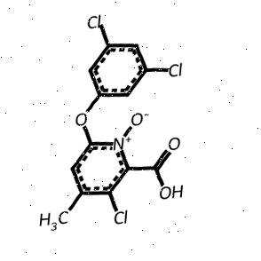 Cc1cc(Oc2cc(Cl)cc(Cl)c2)[n+]([O-])c(C(=O)O)c1Cl